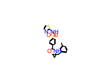 Cc1cccc(CC2(NC(=O)c3ccc(S(=O)(=O)Nc4nccs4)cc3)CC2)c1